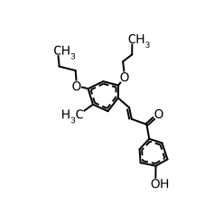 CCCOc1cc(OCCC)c(C=CC(=O)c2ccc(O)cc2)cc1C